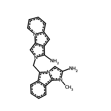 Cn1c(N)cn2c(Cn3cc4c(cc5ccccn54)c3N)c3ccccc3c12